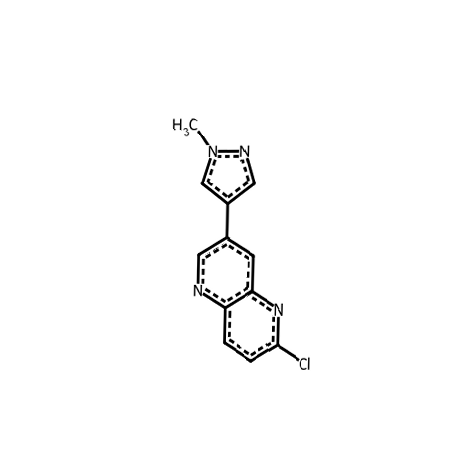 Cn1cc(-c2cnc3ccc(Cl)nc3c2)cn1